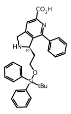 CC(C)(C)[Si](OCC[C@H]1NCc2cc(C(=O)O)nc(-c3ccccc3)c21)(c1ccccc1)c1ccccc1